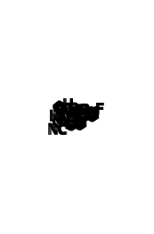 CC(C)(C)OC(=O)N1[C@@H]2CC[C@@H](C2)[C@H]1C(=O)NC(C#N)Cc1ccc2c(cnc3cc(F)ccc32)c1